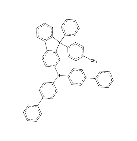 Cc1ccc(C2(c3ccccc3)c3ccccc3-c3ccc(N(c4ccc(-c5ccccc5)cc4)c4ccc(-c5ccccc5)cc4)cc32)cc1